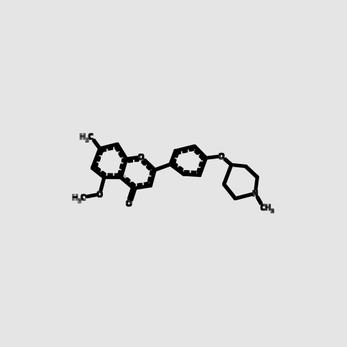 COc1cc(C)cc2oc(-c3ccc(OC4CCN(C)CC4)cc3)cc(=O)c12